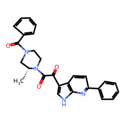 C[C@@H]1CN(C(=O)c2ccccc2)CCN1C(=O)C(=O)c1c[nH]c2nc(-c3ccccc3)ccc12